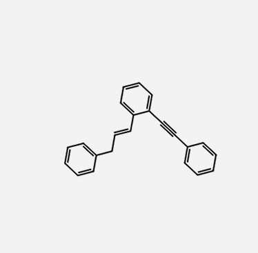 C(#Cc1ccccc1C=CCc1ccccc1)c1ccccc1